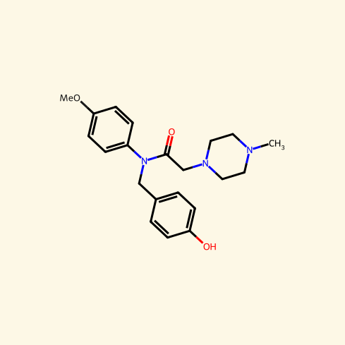 COc1ccc(N(Cc2ccc(O)cc2)C(=O)CN2CCN(C)CC2)cc1